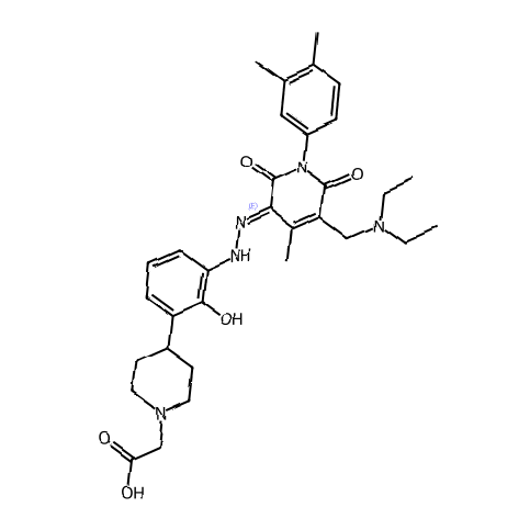 CCN(CC)CC1=C(C)/C(=N\Nc2cccc(C3CCN(CC(=O)O)CC3)c2O)C(=O)N(c2ccc(C)c(C)c2)C1=O